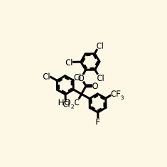 O=C(O)C(C(=O)Oc1c(Cl)cc(Cl)cc1Cl)(c1cc(F)cc(C(F)(F)F)c1)c1c(Cl)cc(Cl)cc1Cl